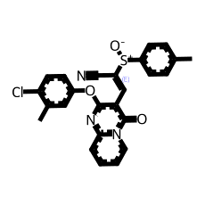 Cc1ccc([S+]([O-])/C(C#N)=C/c2c(Oc3ccc(Cl)c(C)c3)nc3ccccn3c2=O)cc1